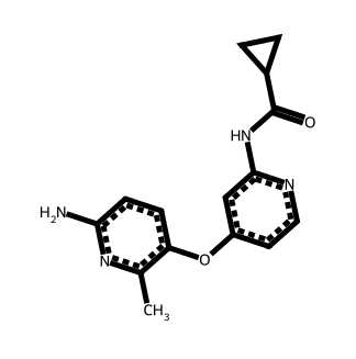 Cc1nc(N)ccc1Oc1ccnc(NC(=O)C2CC2)c1